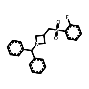 O=S(=O)(CC1CN(C(c2ccccc2)c2ccccc2)C1)c1ccccc1F